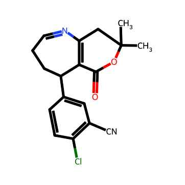 CC1(C)CC2=C(C(=O)O1)C(c1ccc(Cl)c(C#N)c1)CCC=N2